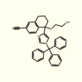 N#Cc1ccc2c(c1)CCCC2(SCCO)c1cn(C(c2ccccc2)(c2ccccc2)c2ccccc2)cn1